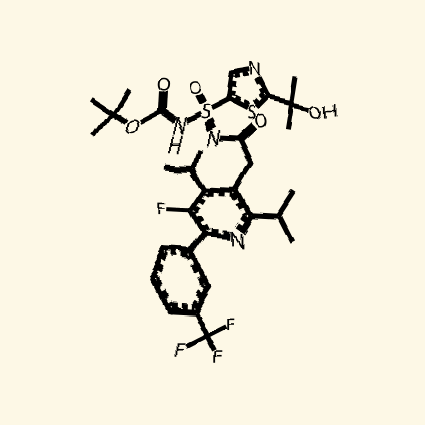 CC(C)c1nc(-c2cccc(C(F)(F)F)c2)c(F)c(C(C)C)c1CC(=O)N=S(=O)(NC(=O)OC(C)(C)C)c1cnc(C(C)(C)O)s1